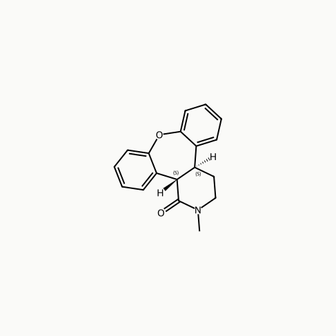 CN1CC[C@@H]2c3ccccc3Oc3ccccc3[C@H]2C1=O